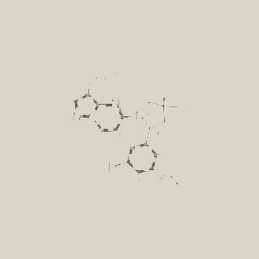 CCOC(=O)c1cnn2ccc(N3CC(F)(F)CC3c3cc(F)cc(C#N)c3)nc12